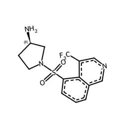 N[C@@H]1CCN(S(=O)(=O)c2cccc3cncc(C(F)(F)F)c23)C1